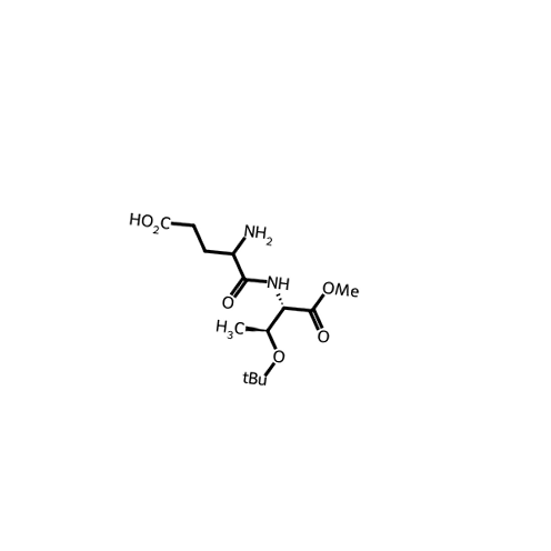 COC(=O)[C@@H](NC(=O)C(N)CCC(=O)O)[C@H](C)OC(C)(C)C